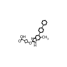 Cc1cc2[nH]c(OC3CC(C(=O)O)C3)nc2cc1-c1ccc(-c2ccccc2)cc1